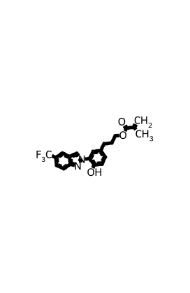 C=C(C)C(=O)OCCCc1ccc(O)c(-n2cc3cc(C(F)(F)F)ccc3n2)c1